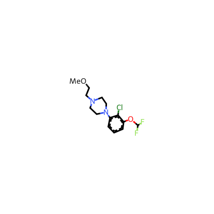 COCCN1CCN(c2cccc(OC(F)F)c2Cl)CC1